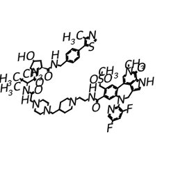 Cc1ncsc1-c1ccc(CNC(=O)[C@@H]2C[C@@H](O)CN2C(=O)[C@@H](NC(=O)CN2CCN(CC3CCN(CCNC(=O)c4cc5c(cc4CS(C)(=O)=O)-c4cn(C)c(=O)c6[nH]cc(c46)CN5c4ncc(F)cc4F)CC3)CC2)C(C)(C)C)cc1